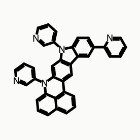 c1ccc(-c2ccc3c(c2)c2cc4c(cc2n3-c2cccnc2)N(c2cccnc2)c2cccc3cccc-4c23)nc1